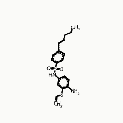 C=CSc1cc(NS(=O)(=O)c2ccc(CCCCC)cc2)ccc1N